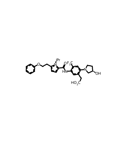 CC(C)n1c(CCOc2ccccc2)ccc1C(=O)Nc1cc(CC(=O)O)c(N2CC[C@@H](O)C2)cc1C(F)(F)F